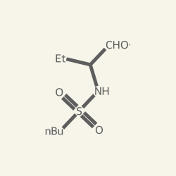 CCCCS(=O)(=O)NC([C]=O)CC